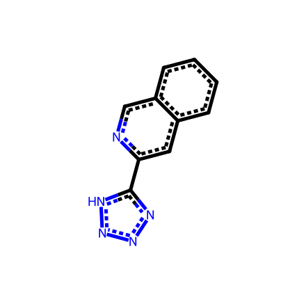 c1ccc2cc(-c3nnn[nH]3)ncc2c1